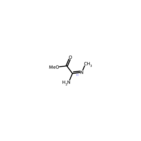 C/N=C(/N)C(=O)OC